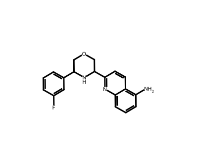 Nc1cccc2nc(C3COCC(c4cccc(F)c4)N3)ccc12